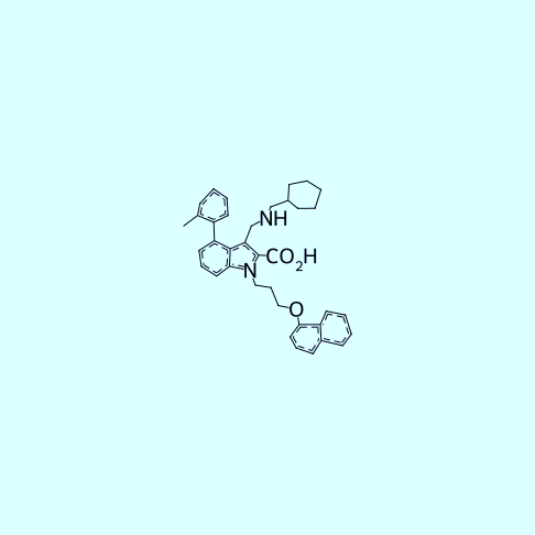 Cc1ccccc1-c1cccc2c1c(CNCC1CCCCC1)c(C(=O)O)n2CCCOc1cccc2ccccc12